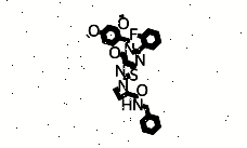 COc1ccc(Cn2c(-c3ccccc3F)nc3sc(N4CCC4C(=O)NCc4ccccc4)nc3c2=O)c(OC)c1